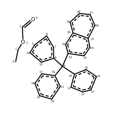 CCOC=O.c1ccc(C(c2ccccc2)(c2ccccc2)c2ccc3ccccc3c2)cc1